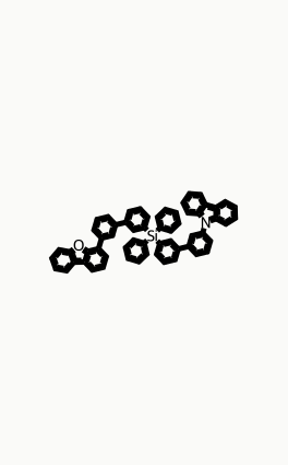 c1ccc([Si](c2ccccc2)(c2cccc(-c3cccc(-c4cccc5c4oc4ccccc45)c3)c2)c2cccc(-c3cccc(-n4c5ccccc5c5ccccc54)c3)c2)cc1